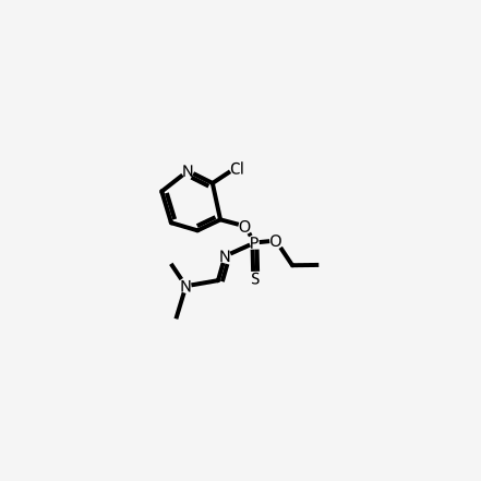 CCOP(=S)(/N=C/N(C)C)Oc1cccnc1Cl